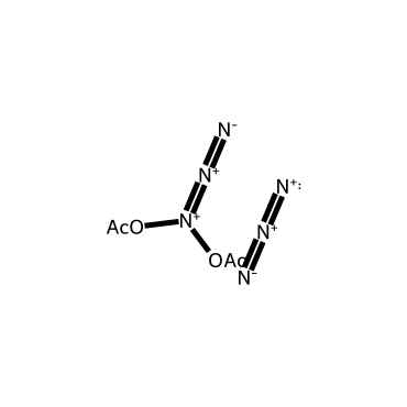 CC(=O)O[N+](=[N+]=[N-])OC(C)=O.[N+]=[N+]=[N-]